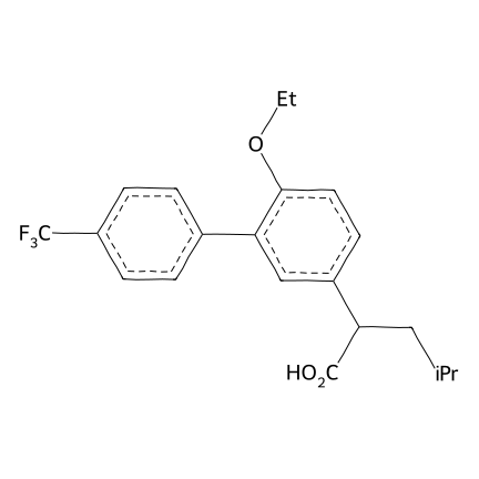 CCOc1ccc(C(CC(C)C)C(=O)O)cc1-c1ccc(C(F)(F)F)cc1